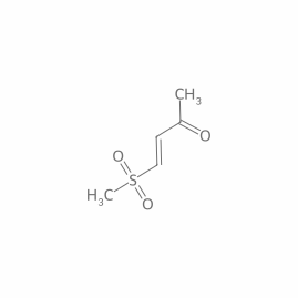 CC(=O)C=CS(C)(=O)=O